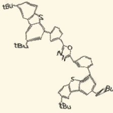 CC(C)(C)c1ccc2sc3c(-c4cccc(-c5nnc(-c6cccc(-c7cc(C(C)(C)C)cc8c7sc7ccc(C(C)(C)C)cc78)c6)o5)c4)cc(C(C)(C)C)cc3c2c1